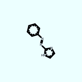 [c]1ccc(N=Nc2ncc[nH]2)cc1